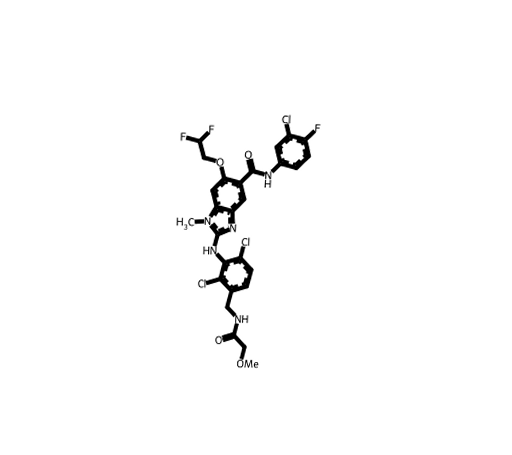 COCC(=O)NCc1ccc(Cl)c(Nc2nc3cc(C(=O)Nc4ccc(F)c(Cl)c4)c(OCC(F)F)cc3n2C)c1Cl